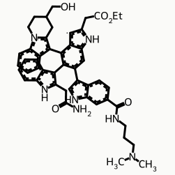 CCOC(=O)Cc1[c]c2c(-c3c4n(c5ccccc35)CCC(CO)C4)c(-c3c(CC(N)=O)[nH]c4ccccc34)c(-c3c[nH]c4cc(C(=O)NCCCN(C)C)ccc34)cc2[nH]1